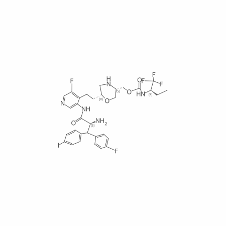 CC[C@@H](NC(=O)OC[C@@H]1CO[C@H](CCc2c(F)cncc2NC(=O)[C@@H](N)C(c2ccc(F)cc2)c2ccc(I)cc2)CN1)C(F)(F)F